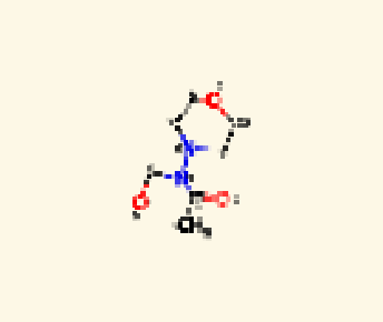 CC(=O)N(C[O])N1CCOCC1